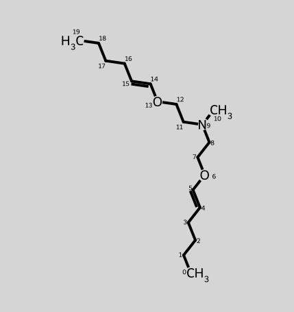 CCCCC=COCCN(C)CCOC=CCCCC